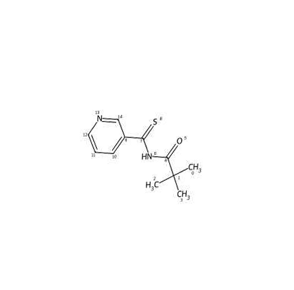 CC(C)(C)C(=O)NC(=S)c1cccnc1